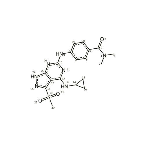 CN(C)C(=O)c1ccc(Nc2nc(NC3CC3)c3c(S(C)(=O)=O)n[nH]c3n2)cc1